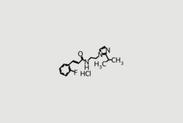 CC(C)c1nccn1CCNC(=O)C=Cc1ccccc1F.Cl